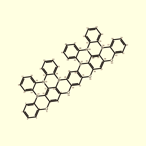 c1ccc2c(c1)Oc1cc3c4c5c1B2c1ccccc1N5c1ccccc1B4c1cc2c(cc1O3)Oc1cc3c4c5c1B2c1ccccc1N5c1ccccc1B4c1ccccc1O3